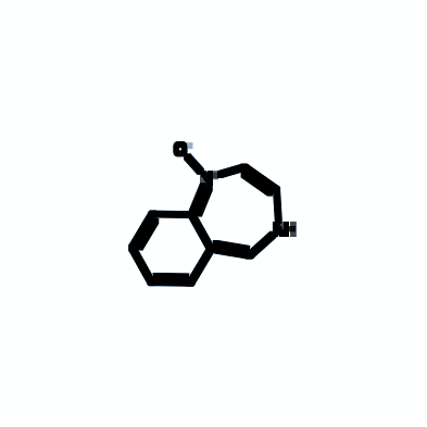 [O-][N+]1=c2ccccc2=CNC=C1